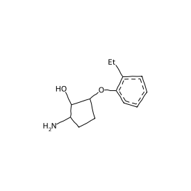 CCc1ccccc1OC1CCC(N)C1O